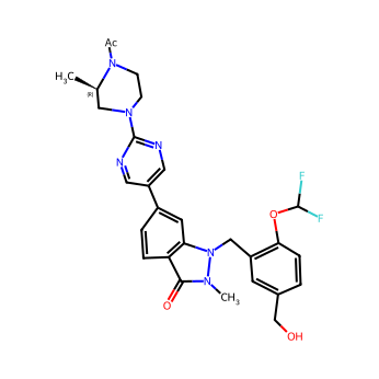 CC(=O)N1CCN(c2ncc(-c3ccc4c(=O)n(C)n(Cc5cc(CO)ccc5OC(F)F)c4c3)cn2)C[C@H]1C